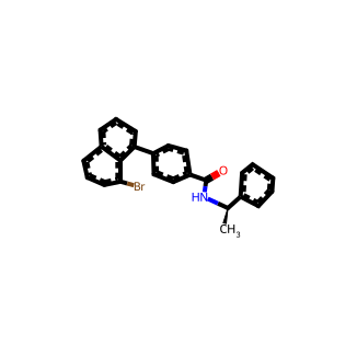 C[C@@H](NC(=O)c1ccc(-c2cccc3cccc(Br)c23)cc1)c1ccccc1